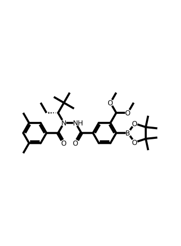 CC[C@@H](N(NC(=O)c1ccc(B2OC(C)(C)C(C)(C)O2)c(C(OC)OC)c1)C(=O)c1cc(C)cc(C)c1)C(C)(C)C